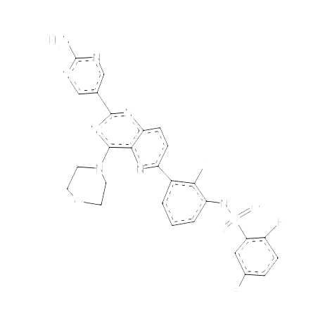 Nc1ncc(-c2nc(N3CCOCC3)c3nc(-c4cccc(NS(=O)(=O)c5cc(F)ccc5F)c4F)ccc3n2)cn1